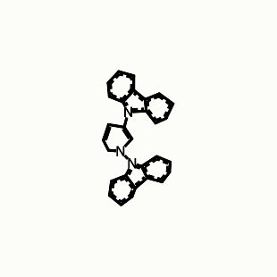 C1=CC(n2c3ccccc3c3ccccc32)=CN(n2c3ccccc3c3ccccc32)C1